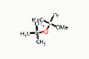 CO[Si](OC)(O[Si](C)(C)C)C(C)C